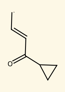 [CH2]C=CC(=O)C1CC1